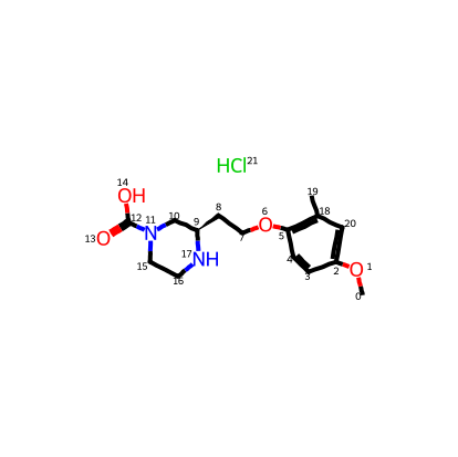 COc1ccc(OCC[C@@H]2CN(C(=O)O)CCN2)c(C)c1.Cl